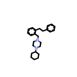 c1ccc(CCc2ccccc2CN2CCN(C3CCCCC3)CC2)cc1